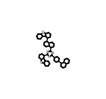 c1ccc2c(-c3ccc(-c4nc(-c5cccc6c(-c7cccc8oc9ccccc9c78)cccc56)nc(-c5cccc6sc7ccccc7c56)n4)cc3)cccc2c1